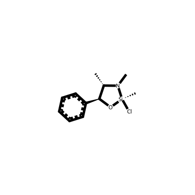 C[C@H]1[C@H](c2ccccc2)O[Si@](C)(Cl)N1C